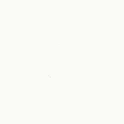 CC1(C)c2ccccc2-c2c(-c3cccc(N(c4ccccc4)c4ccc5c(c4)oc4ccccc45)c3)cccc21